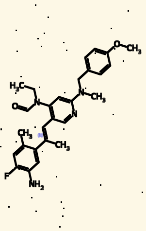 CCN(C=O)c1cc(N(C)Cc2ccc(OC)cc2)ncc1/C=C(\C)c1cc(N)c(F)cc1C